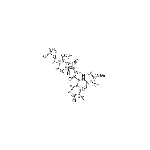 CNC(=O)N(C)C(=O)NC(C(=O)NC1C(=O)N2C(C(=O)O)=C(COC(N)=O)CS[C@@H]12)c1ccc(Cl)c(Cl)c1